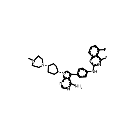 CN1CCN([C@H]2CC[C@@H](n3cc(-c4ccc(Nc5nc(F)c6c(F)cccc6n5)cc4)c4c(N)ncnc43)CC2)CC1